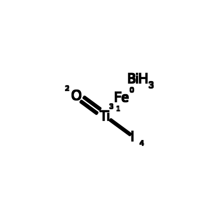 [BiH3].[Fe].[O]=[Ti][I]